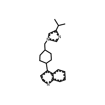 CC(C)c1cn(CC2CCC(c3ccnc4ccccc34)CC2)cn1